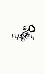 CP(C)(=O)CS(=O)(=O)c1ccccc1